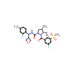 C[C@@H]1C[C@H](C(=O)NC(c2ccc(C(F)(F)F)cc2F)C2COC2)N(C(=O)c2cc(F)cc(S(C)(=O)=O)c2)[C@@H]1C